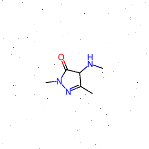 CNC1C(=O)N(C)N=C1C